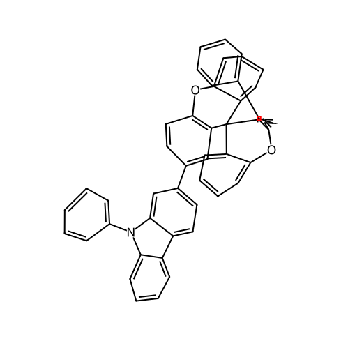 c1ccc(-c2cccc3c2C2(c4ccccc4Oc4ccc(-c5ccc6c7ccccc7n(-c7ccccc7)c6c5)cc42)c2ccccc2O3)cc1